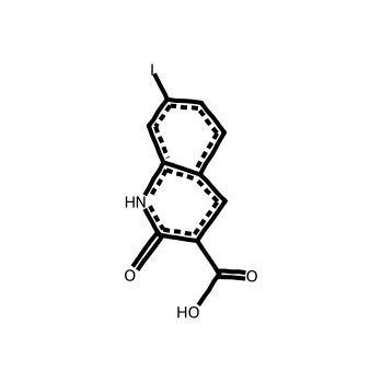 O=C(O)c1cc2ccc(I)cc2[nH]c1=O